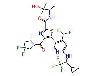 C[C@H]1CC(F)(F)CN1C(=O)c1nc(C(=O)N[C@H](C)C(C)(C)O)sc1-c1cnc(N[C@@H](C2CC2)C(F)(F)F)cc1C(F)F